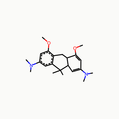 COC1=CC(N(C)C)=CC2C1Cc1c(OC)cc(N(C)C)cc1C2(C)C